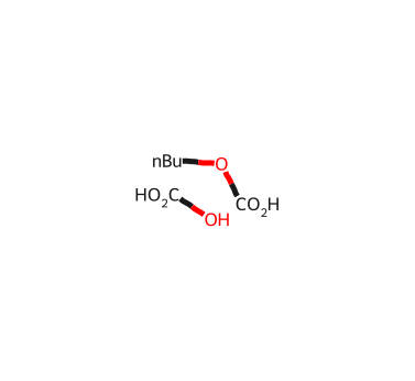 CCCCOC(=O)O.O=C(O)O